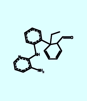 CCC1(c2ccccc2Nc2ncccc2N)C=CC=CC1C=O